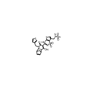 CS(=O)(=O)NCc1csc2c1S(=O)(=O)N=C(C1=C(O)C3C4C=CC(C4)C3N(Cc3ccsc3)C1=O)N2